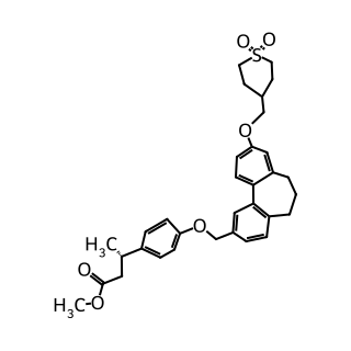 COC(=O)C[C@H](C)c1ccc(OCc2ccc3c(c2)-c2ccc(OCC4CCS(=O)(=O)CC4)cc2CCC3)cc1